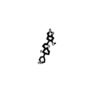 COc1cc2nn(C)cc2cc1-c1ccc2c(F)c(C3CCNCC3)ccc2n1